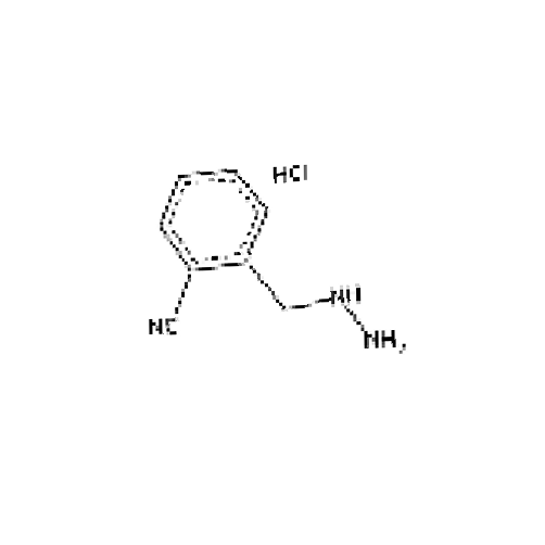 Cl.N#Cc1ccccc1CNN